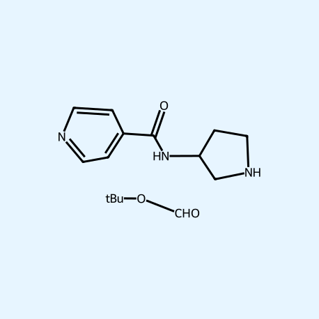 CC(C)(C)OC=O.O=C(NC1CCNC1)c1ccncc1